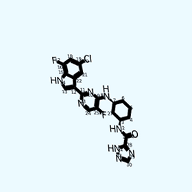 O=C(N[C@@H]1CCC[C@H](Nc2nc(-c3c[nH]c4c(F)cc(Cl)cc34)ncc2F)C1)c1ncn[nH]1